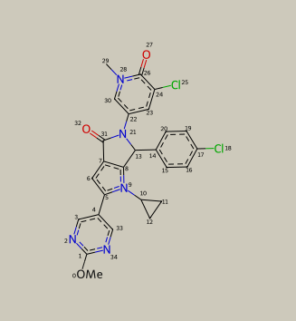 COc1ncc(-c2cc3c(n2C2CC2)C(c2ccc(Cl)cc2)N(c2cc(Cl)c(=O)n(C)c2)C3=O)cn1